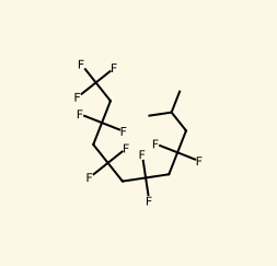 CC(C)CC(F)(F)CC(F)(F)CC(F)(F)CC(F)(F)CC(F)(F)F